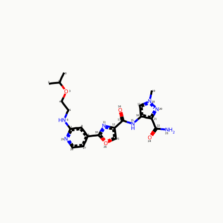 CC(C)OCCNc1cc(-c2nc(C(=O)Nc3cn(C)nc3C(N)=O)co2)ccn1